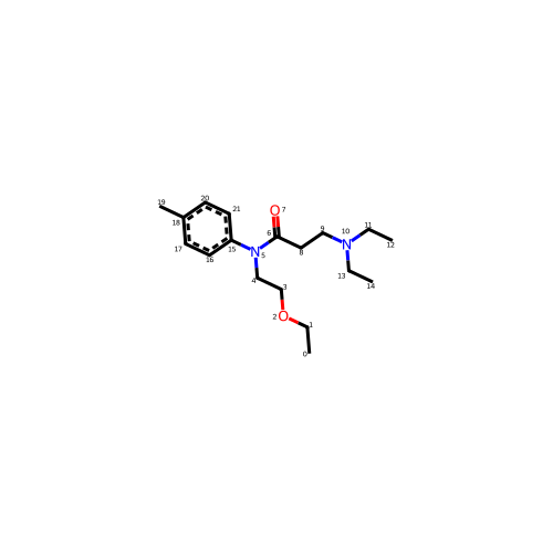 CCOCCN(C(=O)CCN(CC)CC)c1ccc(C)cc1